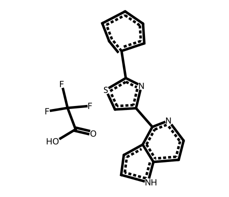 O=C(O)C(F)(F)F.c1ccc(-c2nc(-c3nccc4[nH]ccc34)cs2)cc1